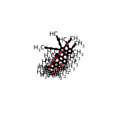 BBB(B)B(B(B)B)c1c(B(B(B)B)B(B)B)c(C)c(C)c2c(C)c(-c3c4c(C)c(C)c(C)c(C)c4c(-c4c(C)c5c(C)c(C)c(C#CC)c(C#CC#C)c5c5c(C#CC#CC)c(C#CC#CC#C)c(C#CC#CC#CC)c(C#CC#CC#CC#C)c45)c4c(C)c(C)c(C)c(C)c34)c(BB)c(B)c12